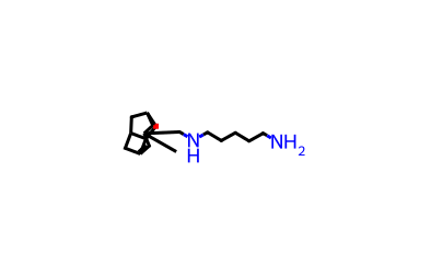 CC1(CNCCCCCN)C=C2CC3CC(CC23)C1